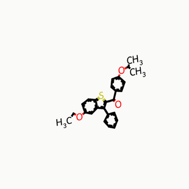 CCOc1ccc2sc(C(=O)c3ccc(OC(C)C)cc3)c(-c3ccccc3)c2c1